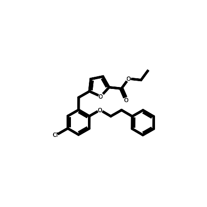 CCOC(=O)c1ccc(Cc2cc(Cl)ccc2OCCc2ccccc2)o1